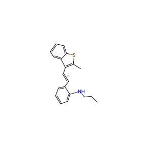 CCCNc1ccccc1/C=C/c1c(C)sc2ccccc12